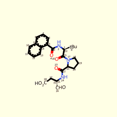 CC(C)(C)[C@H](NC(=O)c1cccc2ccccc12)C(=O)N1CCCC1C(=O)N[C@H](C=O)CC(=O)O